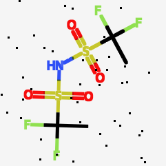 CC(F)(F)S(=O)(=O)NS(=O)(=O)C(C)(F)F